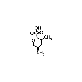 C=C([C]=O)CC(C)CS(=O)(=O)O